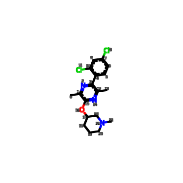 Cc1nc(-c2ccc(Cl)cc2Cl)c(C)nc1OC1CCCN(C)C1